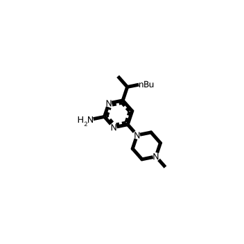 CCCCC(C)c1cc(N2CCN(C)CC2)nc(N)n1